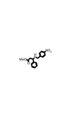 COC(=O)CC(NCc1ccc([N+](=O)[O-])cc1)c1ccccc1